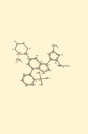 Cc1cc(-c2nsc3c(-c4cccnc4C(F)(F)F)cc(N4CCOC[C@H]4C)nc23)n(PI)n1